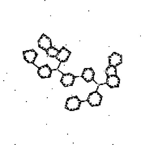 c1ccc(-c2cccc(N(c3cccc(-c4cccc(N(c5cccc(-c6ccccc6)c5)c5cccc6c5oc5ccccc56)c4)c3)c3cccc4c3oc3ccccc34)c2)cc1